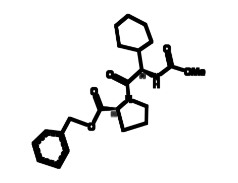 COC(=O)N[C@@H](C(=O)N1CCC[C@H]1C(=O)OCc1ccccc1)C1CCCCC1